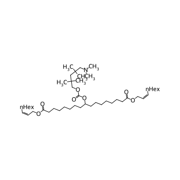 CCCCCC/C=C\COC(=O)CCCCCCCC(CCCCCCCC(=O)OC/C=C\CCCCCC)OC(=O)OCC(C)(C)CC(C)(C)CN(C)C